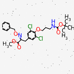 COC(=O)C(Cc1cc(Cl)c(OCCCNC(=O)OC(C)(C)C)c(Cl)c1)=NOCc1ccccc1